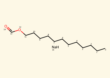 CCCCCCCCCCCCOC=O.[NaH]